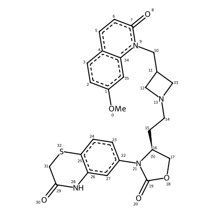 COc1ccc2ccc(=O)n(CC3CN(CC[C@H]4COC(=O)N4c4ccc5c(c4)NC(=O)CS5)C3)c2c1